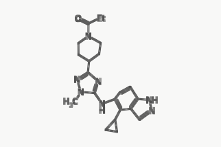 CCC(=O)N1CCC(c2nc(Nc3ccc4[nH]ncc4c3C3CC3)n(C)n2)CC1